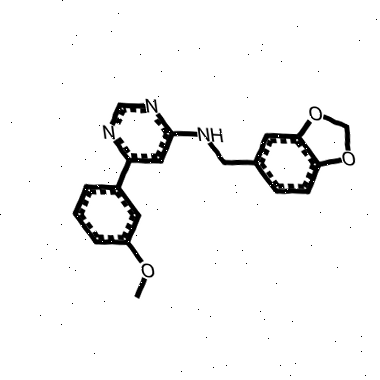 COc1cccc(-c2cc(NCc3ccc4c(c3)OCO4)ncn2)c1